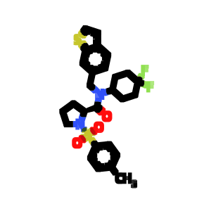 Cc1ccc(S(=O)(=O)N2CCC[C@H]2C(=O)N(Cc2ccc3ccsc3c2)C2CCC(F)(F)CC2)cc1